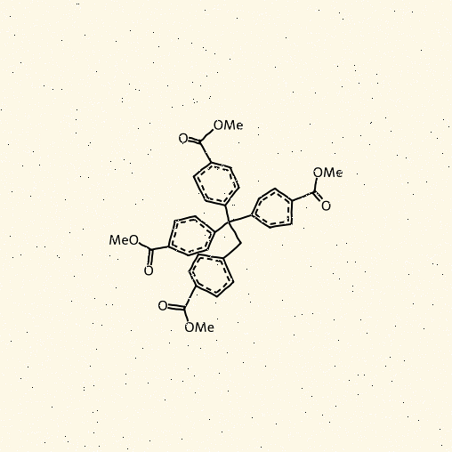 COC(=O)c1ccc(CC(c2ccc(C(=O)OC)cc2)(c2ccc(C(=O)OC)cc2)c2ccc(C(=O)OC)cc2)cc1